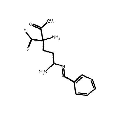 NC(CCC(N)(C(=O)O)C(F)F)N=Cc1ccccc1